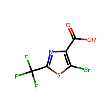 O=C(O)c1nc(C(F)(F)F)sc1Br